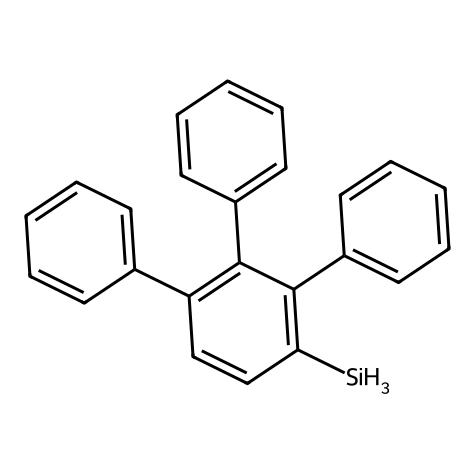 [SiH3]c1ccc(-c2ccccc2)c(-c2ccccc2)c1-c1ccccc1